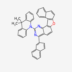 CC1(C)c2ccccc2N(c2nc(-c3ccc4ccccc4c3)c3ccc4oc5ccc6ccccc6c5c4c3n2)c2ccccc21